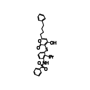 CC(C)c1c(NS(=O)(=O)c2ccccc2)cccc1Sc1c(O)cc(CCCCc2ccccc2)oc1=O